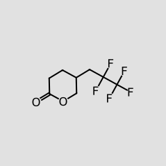 O=C1CCC(CC(F)(F)C(F)(F)F)CO1